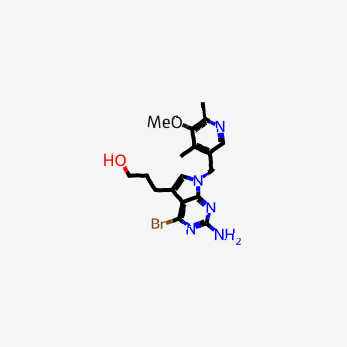 COc1c(C)ncc(Cn2cc(CCCO)c3c(Br)nc(N)nc32)c1C